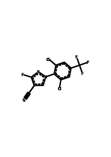 N#Cc1cn(-c2c(Cl)cc(C(F)(F)F)cc2Cl)nc1F